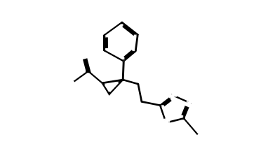 Cc1nnc(CCC2(c3ccccc3)CC2C(=O)O)o1